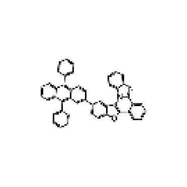 c1ccc(-c2c3ccccc3c(-c3ccccc3)c3cc(-c4ccc5oc6c7ccccc7c7nc8ccccc8n7c6c5c4)ccc23)cc1